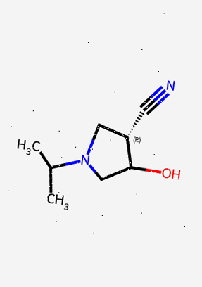 CC(C)N1CC(O)[C@@H](C#N)C1